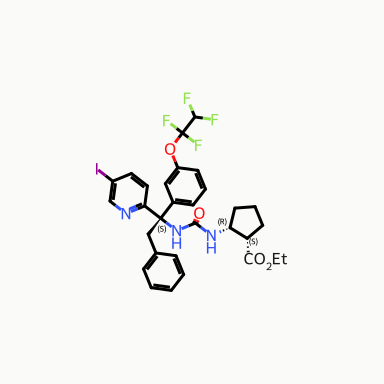 CCOC(=O)[C@H]1CCC[C@H]1NC(=O)N[C@@](Cc1ccccc1)(c1cccc(OC(F)(F)C(F)F)c1)c1ccc(I)cn1